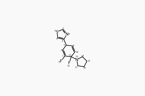 FC1=CC(c2cs[c]n2)C=CC1(F)N1CCCC1